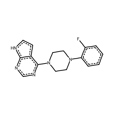 Fc1ccccc1N1CCN(c2ncnc3[nH]ccc23)CC1